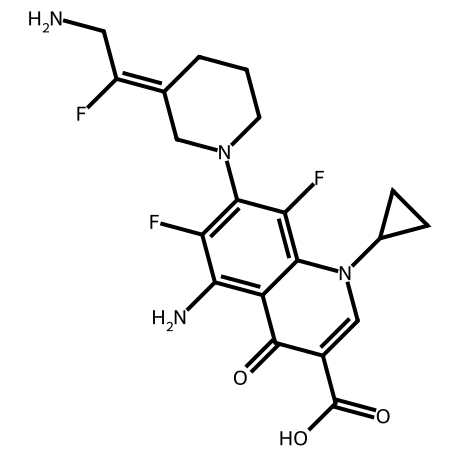 NC/C(F)=C1\CCCN(c2c(F)c(N)c3c(=O)c(C(=O)O)cn(C4CC4)c3c2F)C1